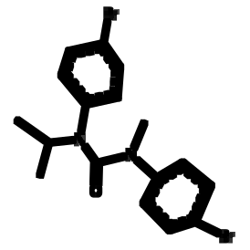 CC(C)N(C(=O)N(C)c1ccc(Br)cc1)c1ccc(Br)cc1